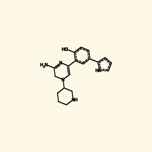 NC1=NC(c2cc(-c3ccc[nH]3)ccc2O)=CN(C2CCCNC2)C1